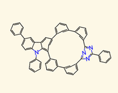 c1ccc(-c2ccc3c(c2)c2cc4cc(c5cccc(c5)c5cccc(c5)c5nc(-c6ccccc6)nc(n5)c5cccc(c5)c5cccc4c5)c2n3-c2ccccc2)cc1